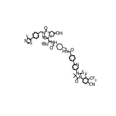 Cc1ncsc1-c1ccc(CNC(=O)[C@@H]2C[C@@H](O)CN2C(=O)[C@@H](NC(=O)[C@H]2CC[C@H](CNC(=O)c3ccc(-c4ccc(N5C(=S)N(c6ccc(C#N)c(C(F)(F)F)c6F)C(=O)C5(C)C)cn4)cc3)CC2)C(C)(C)C)cc1